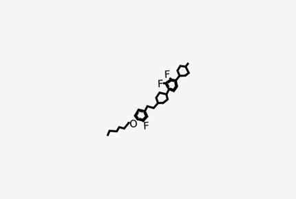 CCCCCCOc1ccc(CCC2CCC(c3ccc(C4CCC(C)CC4)c(F)c3F)CC2)cc1F